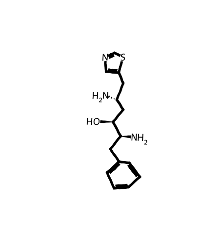 N[C@H](Cc1cncs1)C[C@H](O)[C@@H](N)Cc1ccccc1